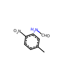 Cc1ccc([N+](=O)[O-])cc1.NC=O